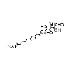 CCCCCCCCC=CCCCCCCCCOC[C@@H](O)[C@@H](O)[C@H](O)[C@@H](O)C=O